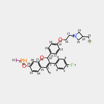 CC1=C(c2ccc(F)cc2)C(c2ccc(OCCN3CC(CF)C3)cc2)Oc2cc(OPI)ccc21